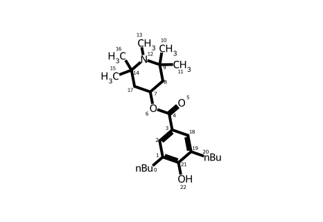 CCCCc1cc(C(=O)OC2CC(C)(C)N(C)C(C)(C)C2)cc(CCCC)c1O